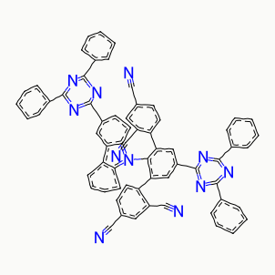 N#Cc1ccc(-c2cc(-c3nc(-c4ccccc4)nc(-c4ccccc4)n3)cc(-c3ccc(C#N)cc3C#N)c2-n2c3ccccc3c3cc(-c4nc(-c5ccccc5)nc(-c5ccccc5)n4)ccc32)c(C#N)c1